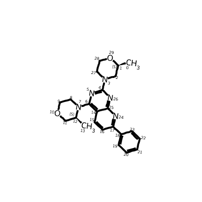 C[C@H]1CN(c2nc(N3CCOC[C@@H]3C)c3ccc(-c4ccccc4)nc3n2)CCO1